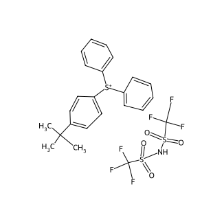 CC(C)(C)c1ccc([S+](c2ccccc2)c2ccccc2)cc1.O=S(=O)(NS(=O)(=O)C(F)(F)F)C(F)(F)F